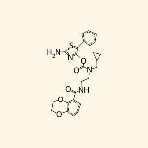 Nc1nc(OC(=O)N(CCNC(=O)c2cccc3c2OCCO3)CC2CC2)c(-c2ccccc2)s1